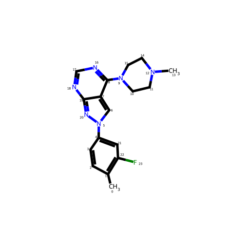 Cc1ccc(-n2cc3c(N4CCN(C)CC4)ncnc3n2)cc1F